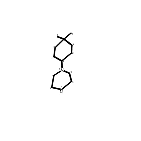 CC1(C)CCC(N2CCNCC2)CC1